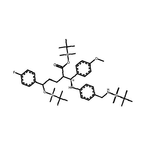 COc1ccc([C@@H](Nc2ccc(CN[Si](C)(C)C(C)(C)C)cc2)C(CCC(O[Si](C)(C)C(C)(C)C)c2ccc(F)cc2)C(=O)O[Si](C)(C)C(C)(C)C)cc1